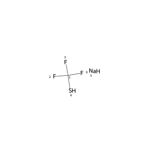 FC(F)(F)S.[NaH]